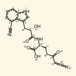 N#Cc1cccc2[nH]cc(C[C@H](O)C(=O)N[C@@H](CCC(=O)C=[N+]=[N-])C(=O)O)c12